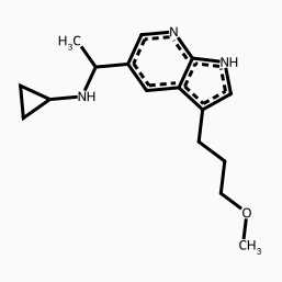 COCCCc1c[nH]c2ncc(C(C)NC3CC3)cc12